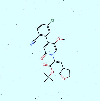 COc1cn(/C(=C/C2CCOC2)C(=O)OC(C)(C)C)c(=O)cc1-c1cc(Cl)ccc1C#N